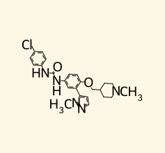 CN1CCC(COc2ccc(NC(=O)Nc3ccc(Cl)cc3)cc2-c2ccnn2C)CC1